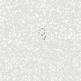 CCCCC(Nn1ccc2ccccc21)C(N)=O